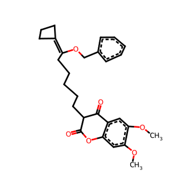 COc1cc2c(cc1OC)C(=O)C(CCCCCC(OCc1ccccc1)=C1CCC1)C(=O)O2